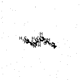 CC1NC=C(NC(=O)CCN2CCC3(CC3)C2)C=C1NC(=O)c1cnn2cc(-c3cnn(C)c3)sc12